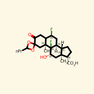 CCCC1OC2(C[C@@]3(C)C(CC2=O)[C@@H](F)C[C@H]2[C@@H]4CC[C@H](C(=O)O)[C@@]4(C)C[C@H](O)[C@@]23F)O1